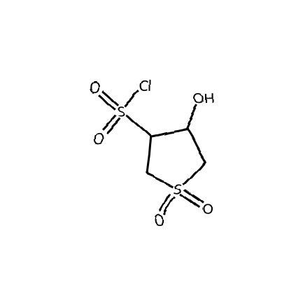 O=S1(=O)CC(O)C(S(=O)(=O)Cl)C1